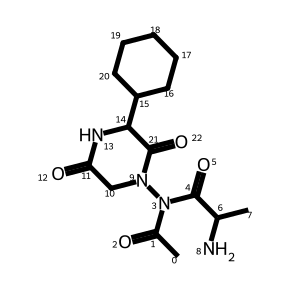 CC(=O)N(C(=O)C(C)N)N1CC(=O)NC(C2CCCCC2)C1=O